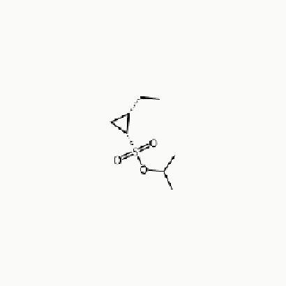 CC[C@H]1C[C@H]1S(=O)(=O)OC(C)C